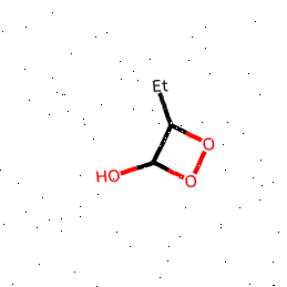 CCC1OOC1O